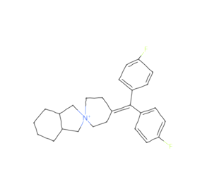 Fc1ccc(C(=C2CC[N+]3(CC2)CC2CCCCC2C3)c2ccc(F)cc2)cc1